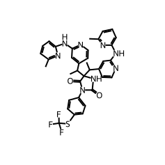 Cc1cccc(Nc2cc(C(C)C3(C(C)c4ccnc(Nc5cccc(C)n5)c4)NC(=O)N(c4ccc(SC(F)(F)F)cc4)C3=O)ccn2)n1